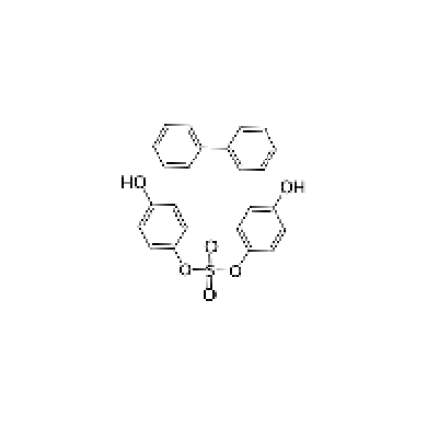 O=S(=O)(Oc1ccc(O)cc1)Oc1ccc(O)cc1.c1ccc(-c2ccccc2)cc1